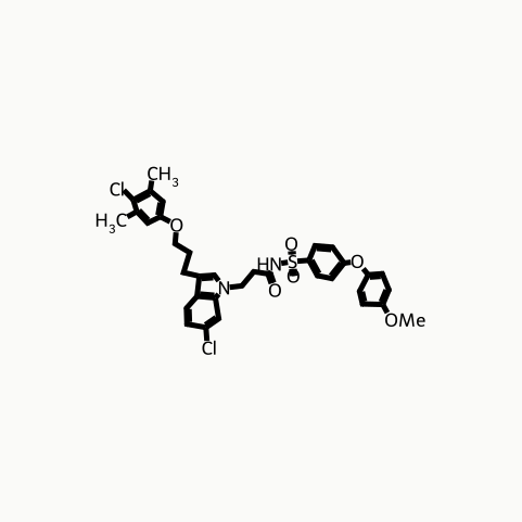 COc1ccc(Oc2ccc(S(=O)(=O)NC(=O)CCn3cc(CCCOc4cc(C)c(Cl)c(C)c4)c4ccc(Cl)cc43)cc2)cc1